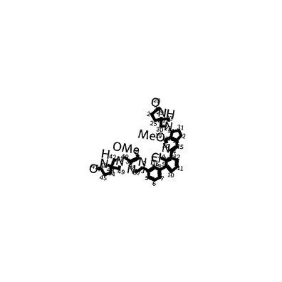 COc1nc(-c2cccc(-c3cccc(-c4cc5c(c(OC)n4)[C@@H](N4CC6(CCC(=O)N6)C4)CC5)c3Cl)c2F)cnc1CN1CC2(CCC(=O)N2)C1